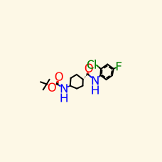 CC(C)(C)OC(=O)N[C@H]1CC[C@H](C(=O)Nc2ccc(F)cc2Cl)CC1